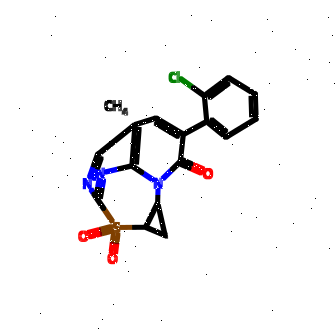 C.O=c1c(-c2ccccc2Cl)cc2cnc3nc2n1C1CC1S3(=O)=O